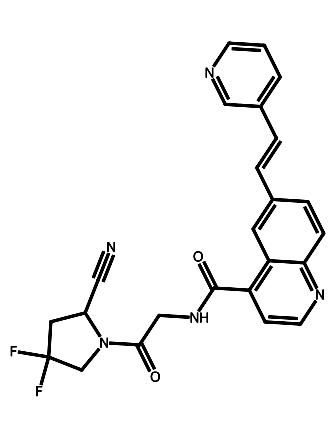 N#CC1CC(F)(F)CN1C(=O)CNC(=O)c1ccnc2ccc(C=Cc3cccnc3)cc12